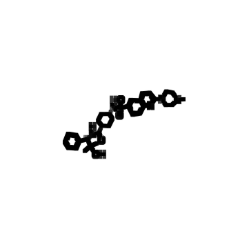 CN1CCN(c2ccc3cc(S(=O)(=O)N[C@H]4CC[C@H](C(=O)N[C@H](c5ccccc5)C(C)(C)O)CC4)ccc3n2)CC1